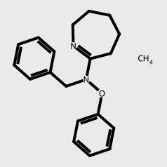 C.c1ccc(CN(Oc2ccccc2)C2=NCCCCC2)cc1